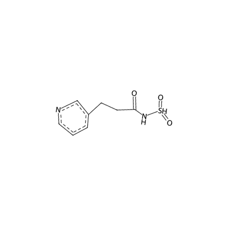 O=C(CCc1cccnc1)N[SH](=O)=O